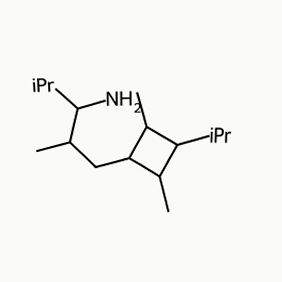 CC(C)C(N)C(C)CC1C(C)C(C(C)C)C1C